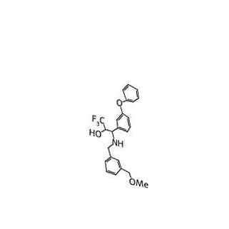 COCc1cccc(CNC(c2cccc(Oc3ccccc3)c2)C(O)C(F)(F)F)c1